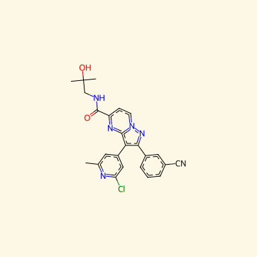 Cc1cc(-c2c(-c3cccc(C#N)c3)nn3ccc(C(=O)NCC(C)(C)O)nc23)cc(Cl)n1